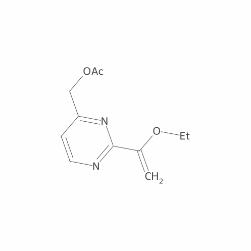 C=C(OCC)c1nccc(COC(C)=O)n1